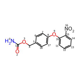 NC(=O)OCc1ccc(Oc2ccccc2[N+](=O)[O-])cc1